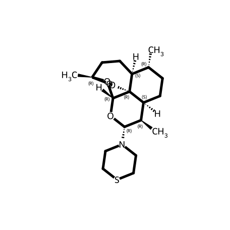 C[C@H]1[C@H](N2CCSCC2)O[C@@H]2O[C@@]3(C)CC[C@H]4[C@H](C)CC[C@@H]1[C@@]24OO3